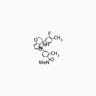 CNC(=O)c1ccc(C(=O)N[C@]2(c3ccc(C)c(F)c3)CCOc3cccnc32)cc1C